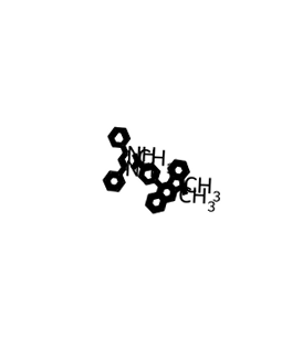 CC1(C)c2ccccc2-c2c1cc1ccccc1c2C1=CC=C([C@]2(C)NC(c3ccccc3)=CC(C3C=CC=CC3)N2)CC1